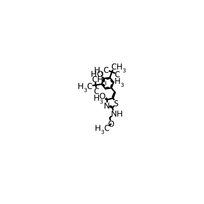 COCNC1=NC(=O)/C(=C\c2cc(C(C)(C)C)c(O)c(C(C)(C)C)c2)S1